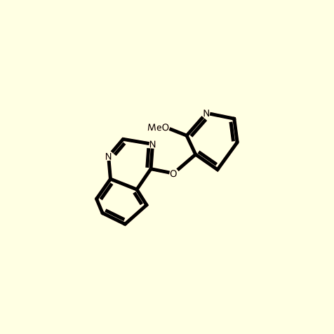 COc1ncccc1Oc1ncnc2ccccc12